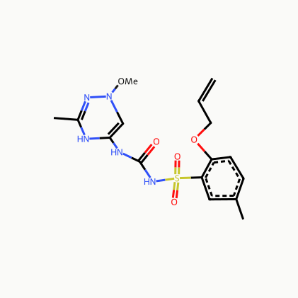 C=CCOc1ccc(C)cc1S(=O)(=O)NC(=O)NC1=CN(OC)N=C(C)N1